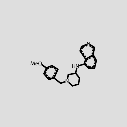 COc1ccc(CN2CCCC(Nc3cccc4cnccc34)C2)cc1